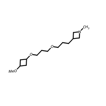 COC1CC(OCCCOCCCC2CN(C)C2)C1